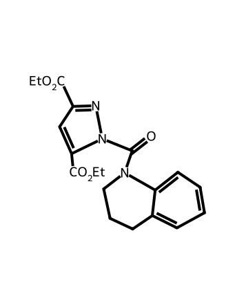 CCOC(=O)c1cc(C(=O)OCC)n(C(=O)N2CCCc3ccccc32)n1